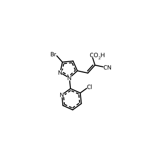 N#CC(=Cc1cc(Br)nn1-c1ncccc1Cl)C(=O)O